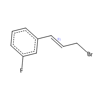 Fc1cccc(/C=C/CBr)c1